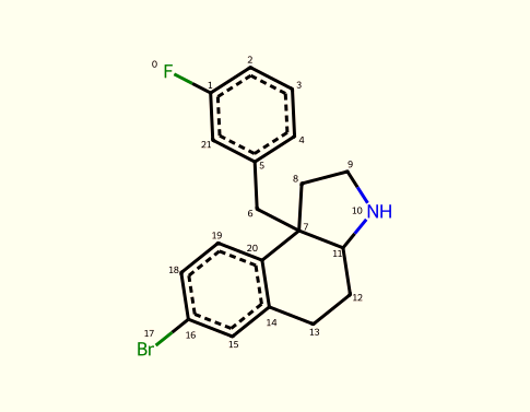 Fc1cccc(CC23CCNC2CCc2cc(Br)ccc23)c1